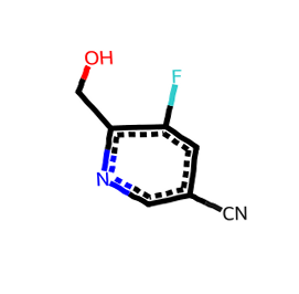 N#Cc1cnc(CO)c(F)c1